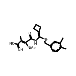 CN/C(C(=O)NC(NCc1ccc(C)c(C)c1)=C1CCC1)=C(/C)C(=N)C#N